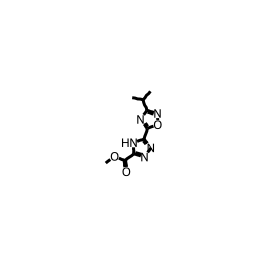 COC(=O)c1nnc(-c2nc(C(C)C)no2)[nH]1